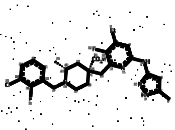 CCc1cc(Nc2cc(C)[nH]n2)nc(C[C@@]2(C(=O)O)CCN(Cc3cccc(Cl)c3F)[C@H](C)C2)c1F